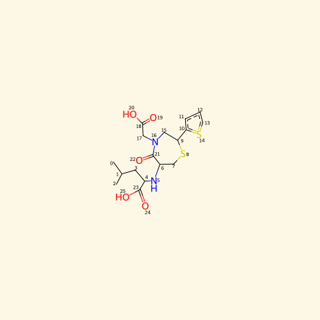 CC(C)CC(NC1CSC(c2cccs2)CN(CC(=O)O)C1=O)C(=O)O